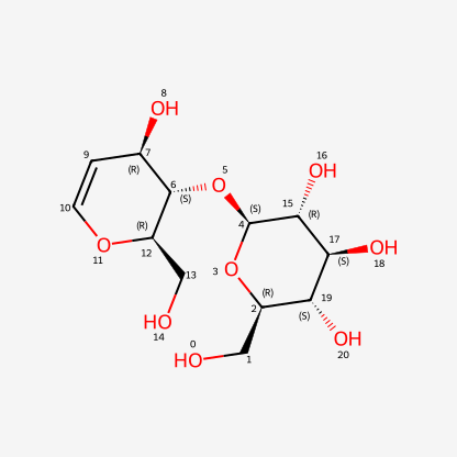 OC[C@H]1O[C@@H](O[C@H]2[C@H](O)C=CO[C@@H]2CO)[C@H](O)[C@@H](O)[C@@H]1O